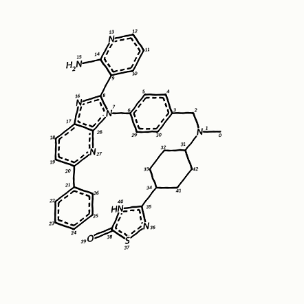 CN(Cc1ccc(-n2c(-c3cccnc3N)nc3ccc(-c4ccccc4)nc32)cc1)C1CCC(c2nsc(=O)[nH]2)CC1